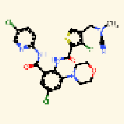 CN(C#N)Cc1csc(C(=O)Nc2c(C(=O)Nc3ccc(Cl)cn3)cc(Cl)cc2N2CCOCC2)c1Cl